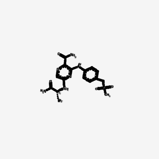 CC(C)[C@@H](Nc1cnc(C(N)=O)c(Nc2ccc(CS(C)(=O)=O)cc2)n1)C(N)=O